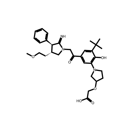 COCC[C@H]1CN(CC(=O)c2cc(N3CCC(OCC(=O)O)C3)c(O)c(C(C)(C)C)c2)C(=N)[C@@H]1c1ccccc1